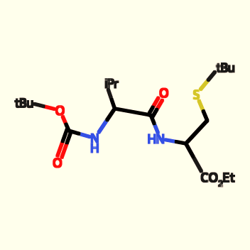 CCOC(=O)C(CSC(C)(C)C)NC(=O)C(NC(=O)OC(C)(C)C)C(C)C